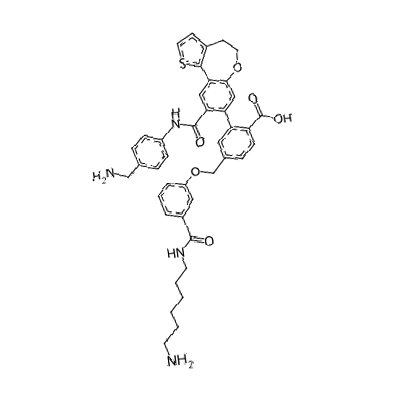 NCCCCCCNC(=O)c1cccc(OCc2ccc(C(=O)O)c(-c3cc4c(cc3C(=O)Nc3ccc(CN)cc3)-c3sccc3CCO4)c2)c1